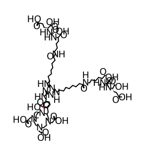 O=C(O)CC[C@H](NC(=O)NC(CCCCNC(=O)CCCCCCCNc1nc(NCCCCCCCC(=O)NCCCCC(NC(=O)N[C@@H](CCC(=O)O)C(=O)O)C(=O)O)nc(Nc2ccc(CC3CN(CC(=O)O)CCN(CC(=O)O)CCN(CC(=O)O)CCN3CC(=O)O)cc2)n1)C(=O)O)C(=O)O